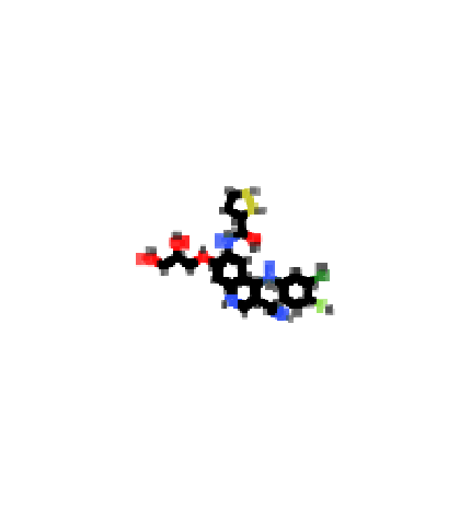 N#Cc1cnc2cc(OCC(O)CO)c(NC(=O)C3CCSS3)cc2c1Nc1ccc(F)c(Cl)c1